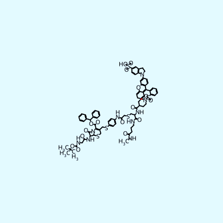 CNC(=O)CCCNC(=O)C(CSCC(=O)Nc1ccc(SCC2=C(C(=O)OC(c3ccccc3)c3ccccc3)N3C(=O)C(NC(=O)CNC(=O)OC(C)(C)C)C3SC2)cc1)NC(=O)C1CCN(S(=O)(=O)c2ccccc2C2=C3C=CCC=C3Oc3cc(N4CCc5cc(S(=O)(=O)O)ccc54)ccc32)CC1